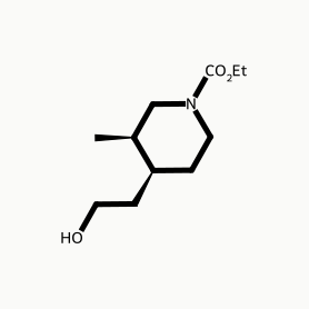 CCOC(=O)N1CC[C@@H](CCO)[C@@H](C)C1